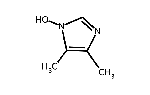 Cc1ncn(O)c1C